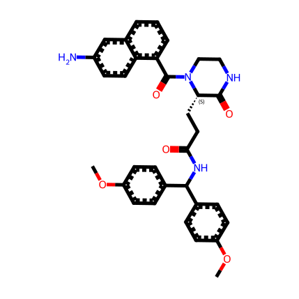 COc1ccc(C(NC(=O)CC[C@H]2C(=O)NCCN2C(=O)c2cccc3cc(N)ccc23)c2ccc(OC)cc2)cc1